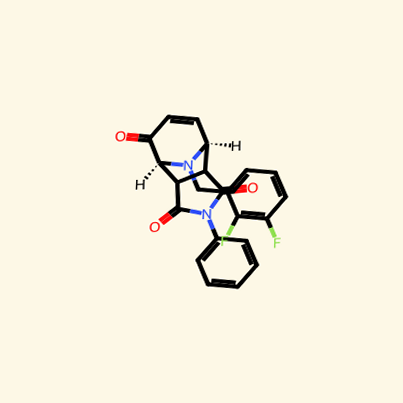 O=C1C=C[C@H]2C3C(=O)N(c4ccccc4)C(=O)C3[C@@H]1N2Cc1cccc(F)c1F